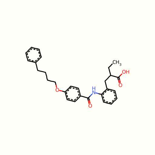 CCC(Cc1ccccc1NC(=O)c1ccc(OCCCCc2ccccc2)cc1)C(=O)O